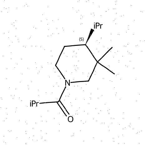 CC(C)C(=O)N1CC[C@@H](C(C)C)C(C)(C)C1